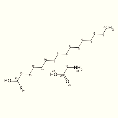 CCCCCCCCCCCCCCC[C](=O)[K].NCC(=O)O